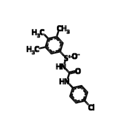 Cc1cc([S+]([O-])NC(=O)Nc2ccc(Cl)cc2)cc(C)c1C